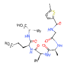 Cc1ccc(C(=O)NCC(=O)N[C@@H](C)C(=O)N[C@H](C(=O)N[C@@H](CCC(=O)O)C(=O)N[C@H](C(=O)O)C(C)C)C(C)C)s1